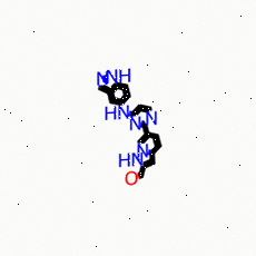 O=CC1=CC2C=CC(c3nccc(Nc4ccc5[nH]ncc5c4)n3)=CN2N1